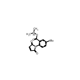 C[SiH](C)OC(=O)c1cc(C(C)(C)C)ccc1N1C(=O)C=CC1=O